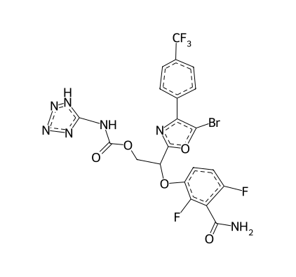 NC(=O)c1c(F)ccc(OC(COC(=O)Nc2nnn[nH]2)c2nc(-c3ccc(C(F)(F)F)cc3)c(Br)o2)c1F